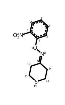 O=[N+]([O-])c1ccccc1ON=C1CCSCC1